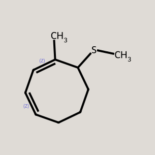 CSC1CCC/C=C\C=C/1C